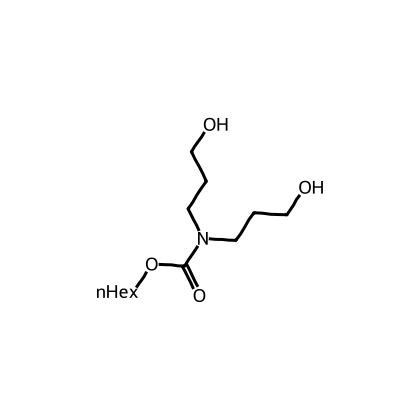 [CH2]CCCCCOC(=O)N(CCCO)CCCO